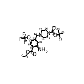 CCOC(=O)c1cc(OC(F)(F)F)c(CN2CCN(C(=O)OC(C)(C)C)CC2)cc1N